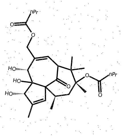 CCCC(=O)OCC1=CC2C(=O)C3(C=C(C)[C@H](O)C3(O)[C@@H]1O)[C@H](C)C[C@@](C)(OC(=O)CCC)C2(C)C